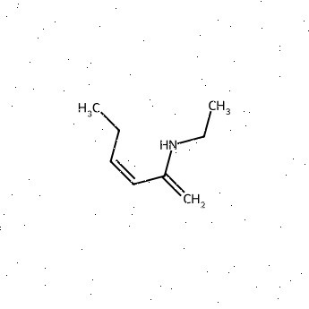 C=C(/C=C\CC)NCC